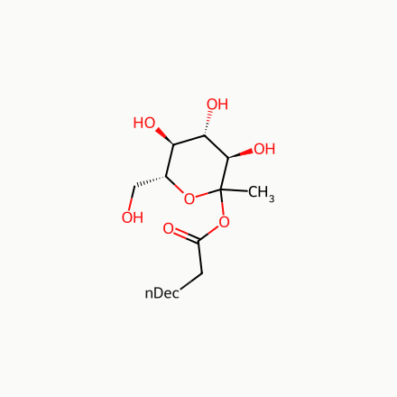 CCCCCCCCCCCC(=O)OC1(C)O[C@H](CO)[C@@H](O)[C@H](O)[C@H]1O